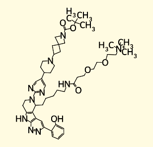 CC(C)(C)OC(=O)N1CC2(CC(N3CCC(c4cnc(N5CCc6[nH]c7nnc(-c8ccccc8O)cc7c6C5CCCCCNC(=O)CCOCCOCC[N+](C)(C)C)nc4)CC3)C2)C1